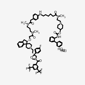 CN(CCN1CCC(OC(=O)Nc2ccccc2-c2ccccc2)CC1)C(=O)CCCCCNc1ccc(CC(=O)N(C)CCCN(C)C(=O)CO[C@H]2Cc3ccccc3C23CCN(CC[C@]2(c4ccc(F)cc4)CN(C(=O)c4cc(C(F)(F)F)cc(C(F)(F)F)c4)CO2)CC3)cc1.Cl.Cl.Cl